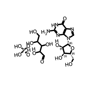 Nc1nc2c(ncn2[C@@H]2O[C@H](CO)[C@@H](O)[C@H]2O)c(=O)[nH]1.O=CC(O)C(O)C(O)CO.O=P(O)(O)O